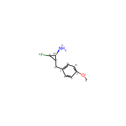 COc1ccc(CC2C(F)[C@H]2N)cc1